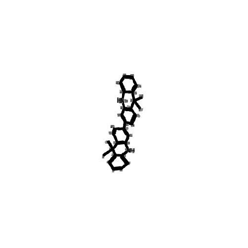 CC1(C)c2ccccc2Nc2cc(-c3ccc4c(c3)Nc3ccccc3C4(C)C)ccc21